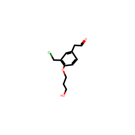 O=CCc1ccc(OCCCO)c(CCl)c1